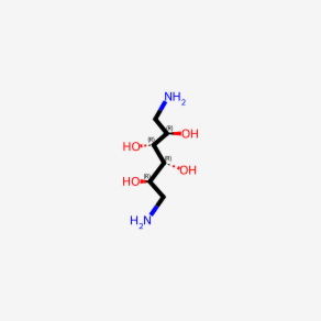 NC[C@@H](O)[C@@H](O)[C@H](O)[C@H](O)CN